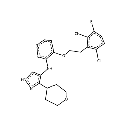 Fc1ccc(Cl)c(CCOc2c[c]nnc2Nc2c[nH]nc2C2CCOCC2)c1Cl